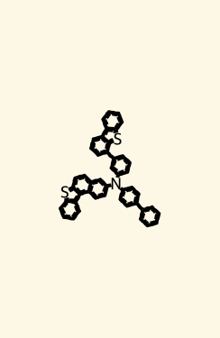 c1ccc(-c2ccc(N(c3cccc(-c4cccc5c4sc4ccccc45)c3)c3ccc4c(ccc5sc6ccccc6c54)c3)cc2)cc1